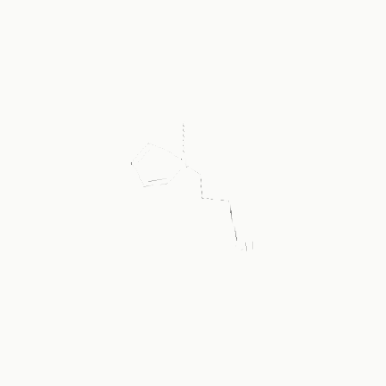 C[N+]1(CCC[SiH3])C=CC=C1